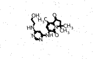 Cc1cc(Nc2cc(NCCO)ncn2)c(=O)n2c1C(=O)CC2(C)C